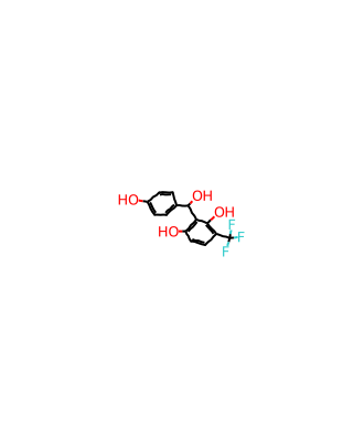 Oc1ccc(C(O)c2c(O)ccc(C(F)(F)F)c2O)cc1